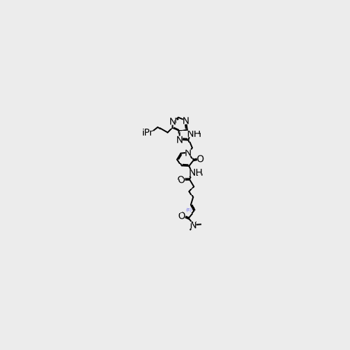 CC(C)CCc1ncnc2[nH]c(Cn3cccc(NC(=O)CCC/C=C/C(=O)N(C)C)c3=O)nc12